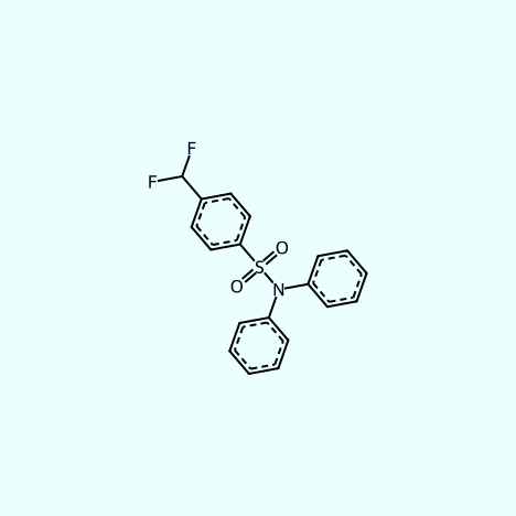 O=S(=O)(c1ccc(C(F)F)cc1)N(c1ccccc1)c1ccccc1